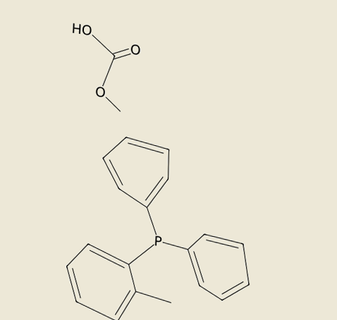 COC(=O)O.Cc1ccccc1P(c1ccccc1)c1ccccc1